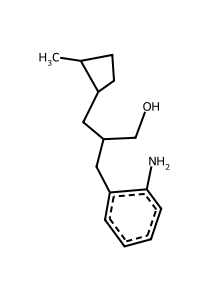 CC1CCC1CC(CO)Cc1ccccc1N